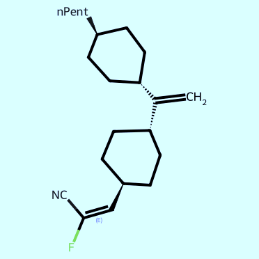 C=C([C@H]1CC[C@H](/C=C(/F)C#N)CC1)[C@H]1CC[C@H](CCCCC)CC1